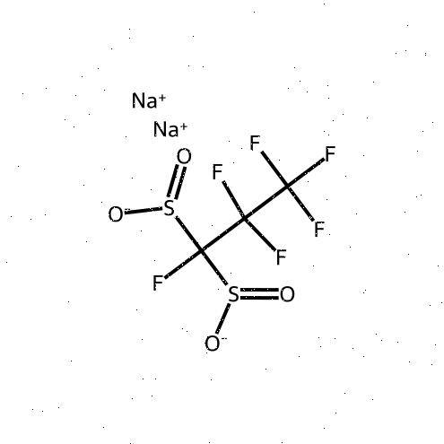 O=S([O-])C(F)(S(=O)[O-])C(F)(F)C(F)(F)F.[Na+].[Na+]